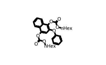 CCCCCCOC(=O)Oc1cc(Oc2ccccc2)c(OC(=O)OCCCCCC)c2ccccc12